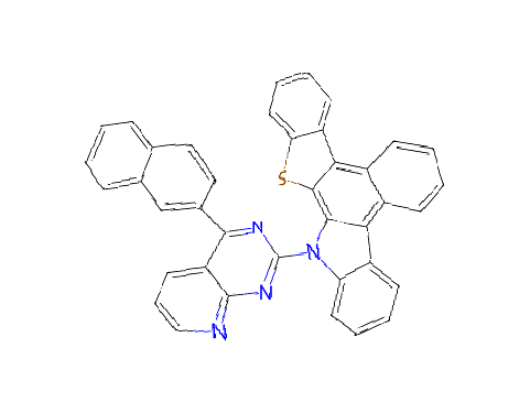 c1ccc2cc(-c3nc(-n4c5ccccc5c5c6ccccc6c6c7ccccc7sc6c54)nc4ncccc34)ccc2c1